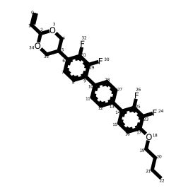 C=CC1OCC(c2ccc(-c3ccc(-c4ccc(OCCCC)c(F)c4F)cc3)c(F)c2F)CO1